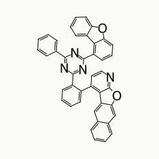 c1ccc(-c2nc(-c3ccccc3-c3ccnc4oc5cc6ccccc6cc5c34)nc(-c3cccc4oc5ccccc5c34)n2)cc1